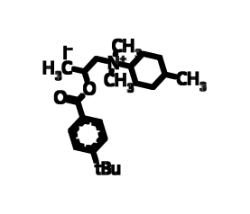 CC1CCC([N+](C)(C)CC(C)OC(=O)c2ccc(C(C)(C)C)cc2)CC1.[I-]